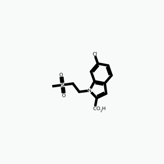 CS(=O)(=O)CCn1c(C(=O)O)cc2ccc(Cl)cc21